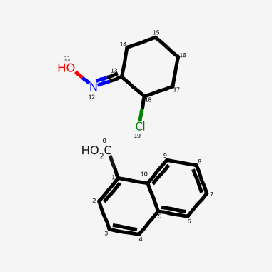 O=C(O)c1cccc2ccccc12.ON=C1CCCCC1Cl